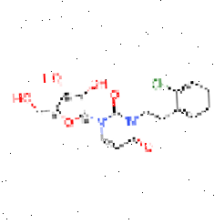 O=c1ccn([C@@H]2O[C@H](CO)[C@H](O)C2O)c(=O)n1CCc1ccccc1Cl